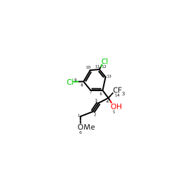 COCC#CC(O)(c1cc(Cl)cc(Cl)c1)C(F)(F)F